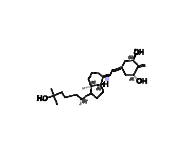 C=C1[C@H](O)CC(=C/C=C2\CCC[C@]3(C)C([C@H](C)CCCC(C)(C)O)CC[C@@H]23)C[C@H]1O